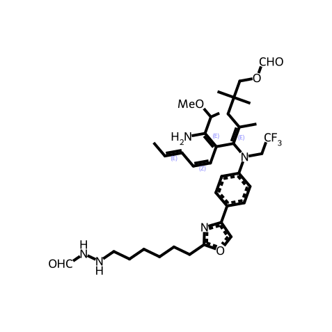 C/C=C/C=C\C(=C(/N)C(C)OC)C(=C(\C)CC(C)(C)COC=O)\N(CC(F)(F)F)c1ccc(-c2coc(CCCCCCNNC=O)n2)cc1